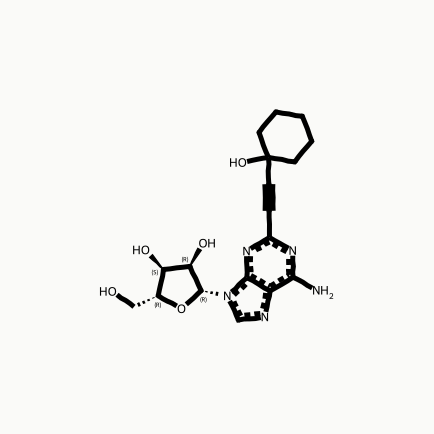 Nc1nc(C#CC2(O)CCCCC2)nc2c1ncn2[C@@H]1O[C@H](CO)[C@@H](O)[C@H]1O